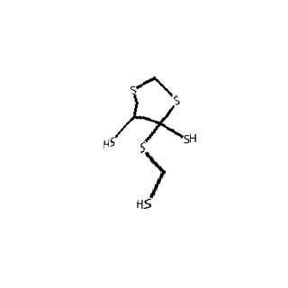 SCSC1(S)SCSC1S